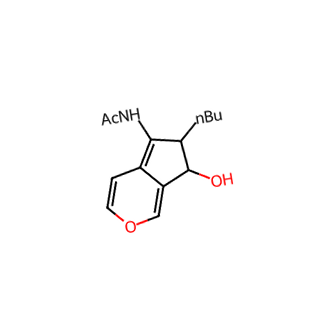 CCCCC1C(NC(C)=O)=C2C=COC=C2C1O